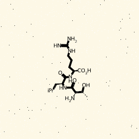 CC(C)C[C@H](NC(=O)[C@@H](N)[C@@H](C)O)C(=O)N[C@@H](CCCNC(=N)N)C(=O)O